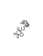 C=C(/C=C\C(=C/C)N1C(=O)CC(=O)Nc2ccccc21)n1nnnc1BO